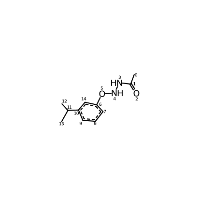 CC(=O)NNOc1cccc(C(C)C)c1